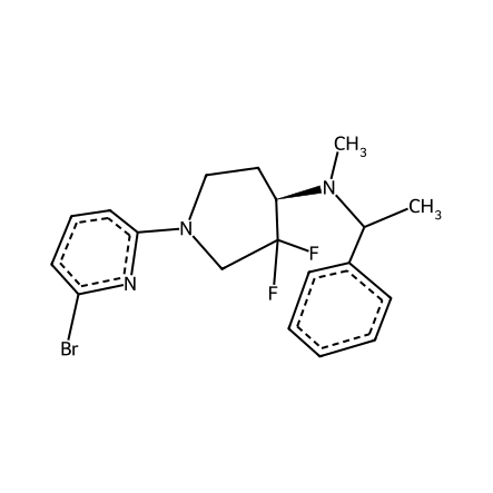 CC(c1ccccc1)N(C)[C@@H]1CCN(c2cccc(Br)n2)CC1(F)F